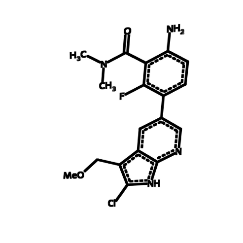 COCc1c(Cl)[nH]c2ncc(-c3ccc(N)c(C(=O)N(C)C)c3F)cc12